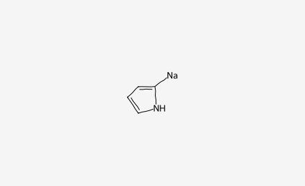 [Na][c]1ccc[nH]1